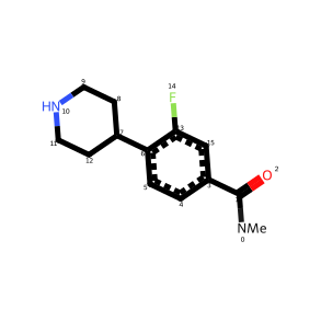 CNC(=O)c1ccc(C2CCNCC2)c(F)c1